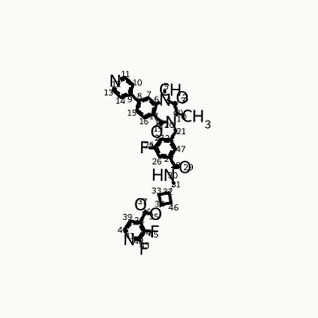 C[C@@H]1C(=O)N(C)c2cc(-c3ccncc3)ccc2C(=O)N1Cc1cc(F)cc(C(=O)NC[C@H]2C[C@@H](OC(=O)c3ccnc(F)c3F)C2)c1